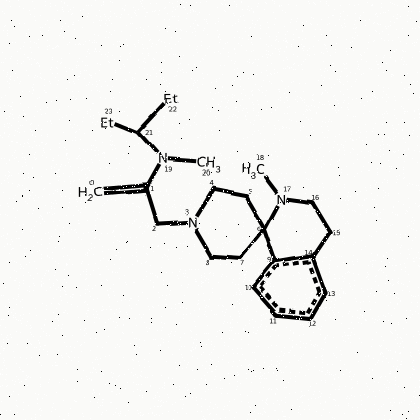 C=C(CN1CCC2(CC1)c1ccccc1CCN2C)N(C)C(CC)CC